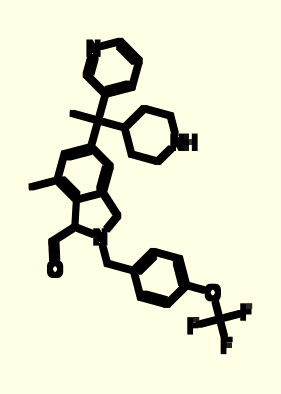 Cc1cc(C(C)(c2cccnc2)C2CCNCC2)cc2c1C(C=O)N(Cc1ccc(OC(F)(F)F)cc1)C2